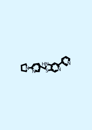 c1cncc(-c2cc3c(cn2)SC(c2ccc(N4CCCC4)nc2)N3)c1